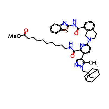 COC(=O)CCCCCCCCCNC(=O)c1nc(N2CCc3cccc(C(=O)Nc4nc5ccccc5s4)c3C2)ccc1-c1cnn(CC23CC4CC(CC(C4)C2)C3)c1C